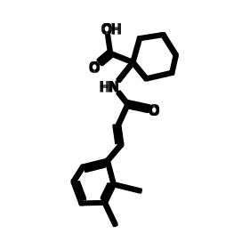 Cc1cccc(/C=C/C(=O)NC2(C(=O)O)CCCCC2)c1C